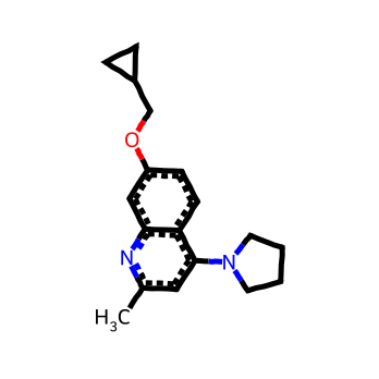 Cc1cc(N2CCCC2)c2ccc(OCC3CC3)cc2n1